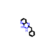 c1ccc(CC2=Nc3cccnc3NN2)cc1